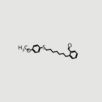 COc1ccc(SCCCCCCCc2ccccc2C=O)cc1